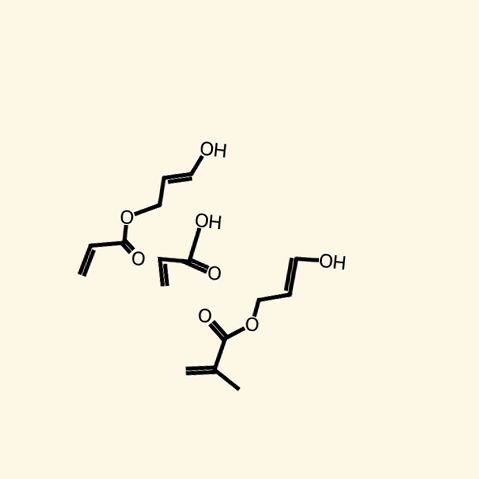 C=C(C)C(=O)OCC=CO.C=CC(=O)O.C=CC(=O)OCC=CO